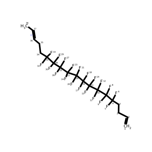 C=CCCC(F)(F)C(F)(F)C(F)(F)C(F)(F)C(F)(F)C(F)(F)C(F)(F)C(F)(F)C(F)(F)C(F)(F)CC/C=C/C